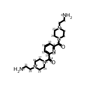 NCCN1CCN(C(=O)c2cccc(C(=O)N3CCN(CCN)CC3)n2)CC1